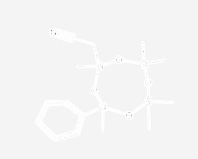 C[Si]1(C)O[Si](C)(C)O[Si](C)(c2ccccc2)O[Si](C)(CC#N)O1